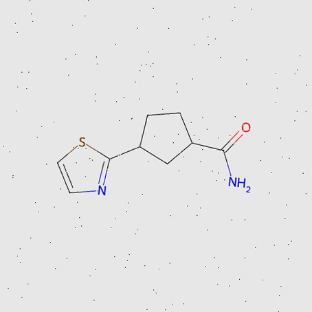 NC(=O)C1CCC(c2nccs2)C1